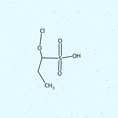 CCC(OCl)S(=O)(=O)O